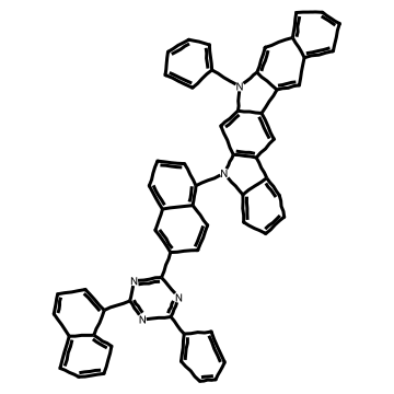 c1ccc(-c2nc(-c3ccc4c(-n5c6ccccc6c6cc7c8cc9ccccc9cc8n(-c8ccccc8)c7cc65)cccc4c3)nc(-c3cccc4ccccc34)n2)cc1